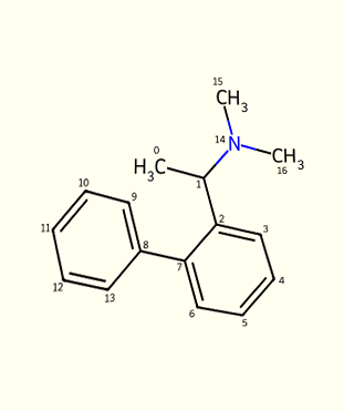 CC(c1ccccc1-c1ccccc1)N(C)C